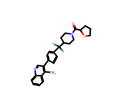 Cc1c(-c2ccc(C(F)(F)C3CCN(C(=O)C4CCCO4)CC3)cc2)cnc2ccccc12